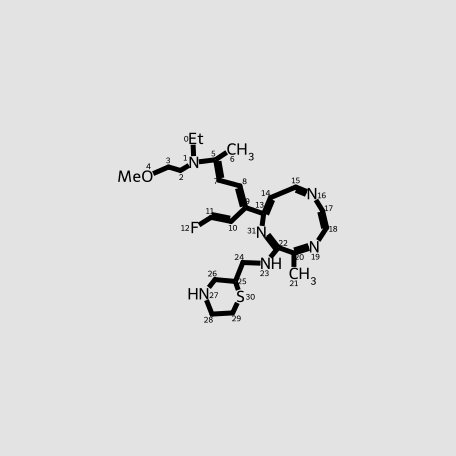 CCN(CCOC)/C(C)=C/C=C(\C=C\F)c1ccnccnc(C)c(NCC2CNCCS2)n1